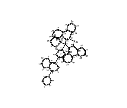 c1ccc(-c2ccc(-c3ccc(C4(c5ccccc5)c5c(c6ccccc6c6ccccc56)Sc5c4c4ccccc4c4ccccc54)cc3)c3ccccc23)cc1